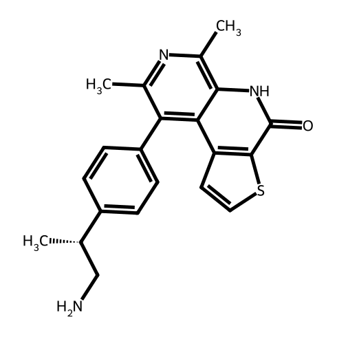 Cc1nc(C)c2[nH]c(=O)c3sccc3c2c1-c1ccc([C@@H](C)CN)cc1